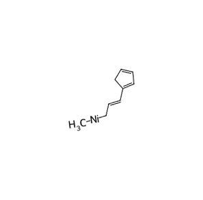 [CH3][Ni][CH2]C=CC1=CC=CC1